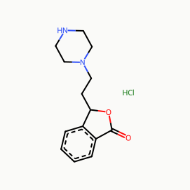 Cl.O=C1OC(CCN2CCNCC2)c2ccccc21